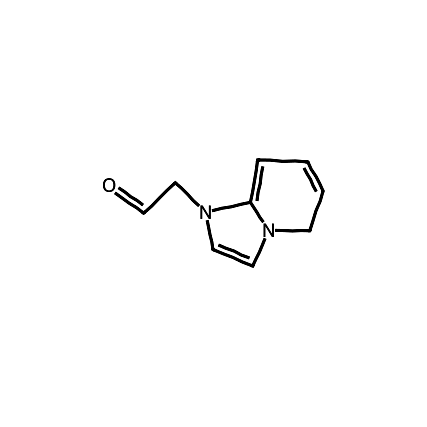 O=CCN1C=CN2CC=CC=C12